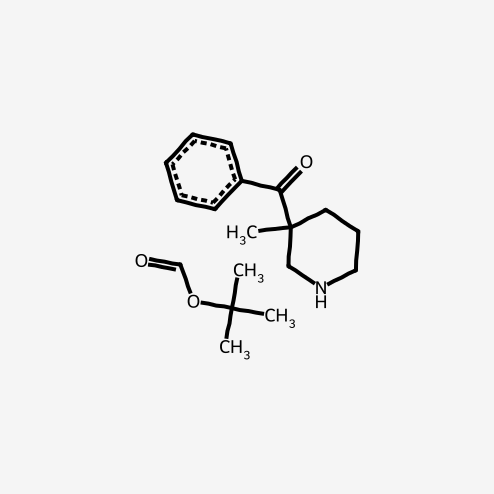 CC(C)(C)OC=O.CC1(C(=O)c2ccccc2)CCCNC1